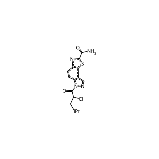 CC(C)CC(Cl)C(=O)n1ncc2c3sc(C(N)=O)nc3ccc21